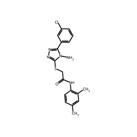 Cc1ccc(NC(=O)CSc2nnc(-c3cccc(Cl)c3)n2N)c(C)c1